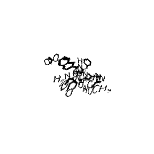 CC(C)(O)c1cnnn1[C@H]1C[C@@H](C(=O)NC2(C(=O)C(N)=O)CCOCC2)N(C(=O)[C@@H](CC2CCCCC2)NC(=O)c2ccc3cc(OC4COC4)ccc3c2)C1